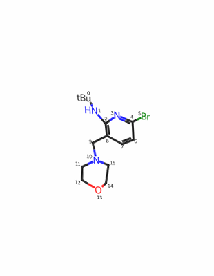 CC(C)(C)Nc1nc(Br)ccc1CN1CCOCC1